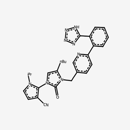 CCCCc1cn(-c2c(C#N)ccn2C(C)C)c(=O)n1Cc1ccc(-c2ccccc2-c2nnn[nH]2)nc1